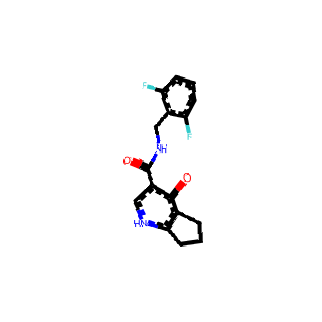 O=C(NCc1c(F)cccc1F)c1c[nH]c2c(c1=O)CCC2